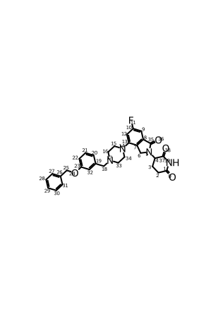 O=C1CCC(N2Cc3c(cc(F)cc3N3CCN(Cc4cccc(OCc5ccccc5)c4)CC3)C2=O)C(=O)N1